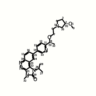 CO[C@H]1CCN(CCO[C@@H](C)c2ccc(-c3ccc4nnc5c(c4c3)n(C(C)C)c(=O)n5C)cn2)C1